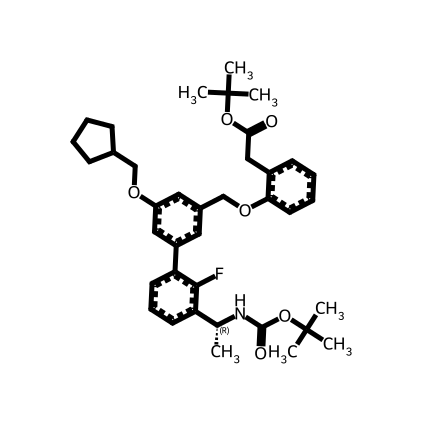 C[C@@H](NC(=O)OC(C)(C)C)c1cccc(-c2cc(COc3ccccc3CC(=O)OC(C)(C)C)cc(OCC3CCCC3)c2)c1F